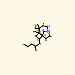 CCCC(C)CC1CC2(C)C(C)(C)CCN3CCC12C3